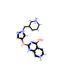 Oc1nc(Oc2cnn(CC3CCCNC3)c2)nc2cnccc12